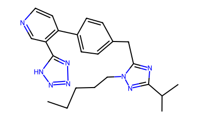 CCCCCn1nc(C(C)C)nc1Cc1ccc(-c2ccncc2-c2nnn[nH]2)cc1